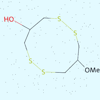 COC1CSSCC(O)CSSC1